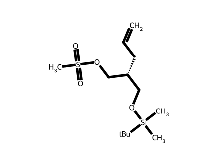 C=CC[C@H](CO[Si](C)(C)C(C)(C)C)COS(C)(=O)=O